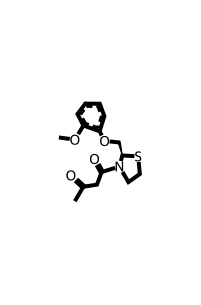 COc1ccccc1OC[C@H]1SCCN1C(=O)CC(C)=O